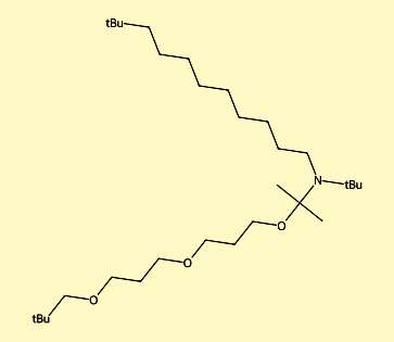 CC(C)(C)CCCCCCCCCN(C(C)(C)C)C(C)(C)OCCCOCCCOCC(C)(C)C